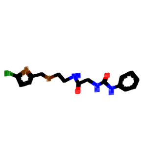 O=C(CNC(=O)Nc1ccccc1)NCCSCc1ccc(Br)s1